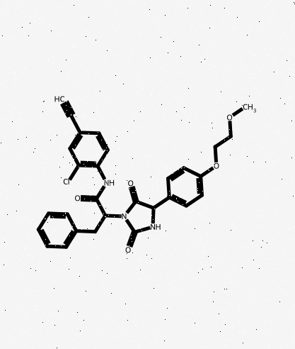 C#Cc1ccc(NC(=O)C(Cc2ccccc2)N2C(=O)NC(c3ccc(OCCOC)cc3)C2=O)c(Cl)c1